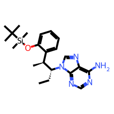 CC[C@H]([C@@H](C)c1ccccc1O[Si](C)(C)C(C)(C)C)n1cnc2c(N)ncnc21